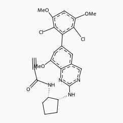 C#CC(=O)N[C@H]1CCC[C@H]1Nc1ncc2cc(-c3c(Cl)c(OC)cc(OC)c3Cl)cc(OC)c2n1